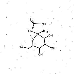 O=C1NC(=S)NC12OC(CO)C(O)C(O)C2O